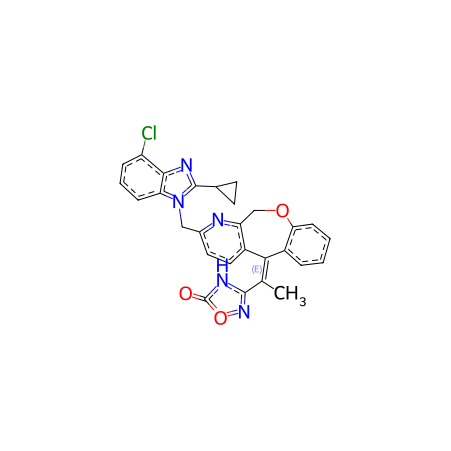 C/C(=C1\c2ccccc2OCc2nc(Cn3c(C4CC4)nc4c(Cl)cccc43)ccc21)c1noc(=O)[nH]1